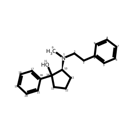 CN(CCc1ccccc1)[C@H]1CCCC1(O)c1ccccc1